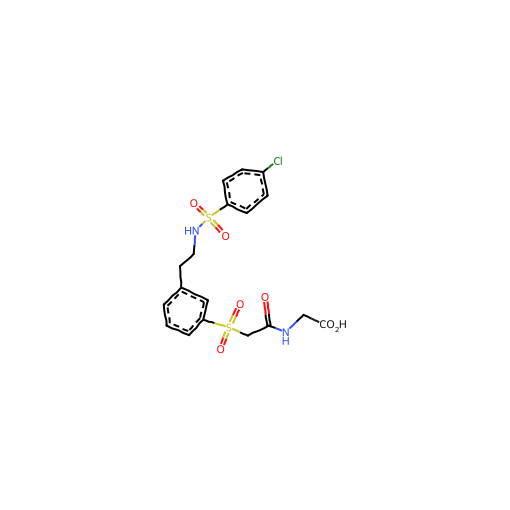 O=C(O)CNC(=O)CS(=O)(=O)c1cccc(CCNS(=O)(=O)c2ccc(Cl)cc2)c1